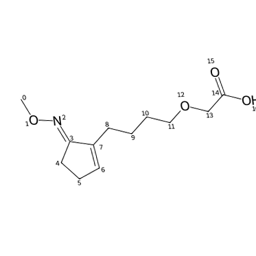 CON=C1CCC=C1CCCCOCC(=O)O